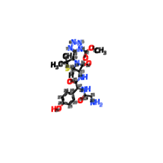 COC(=O)n1nnnc1C1N2C(=O)C(NC(=O)C(NC(=O)CN)c3ccc(O)cc3)[C@H]2SC1(C)C